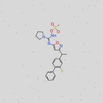 CC(c1ccc(-c2ccccc2)c(F)c1)c1cc(N=C(NOS(C)(=O)=O)N2CCCC2)on1